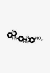 O=[N+]([O-])c1ccc2[nH]c(-c3ccc(Nc4ccnc5ccccc45)cc3)nc2c1